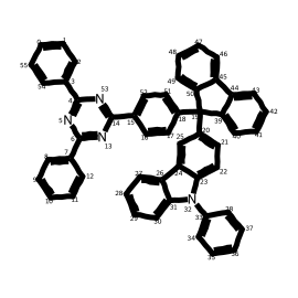 c1ccc(-c2nc(-c3ccccc3)nc(-c3ccc(C4(c5ccc6c(c5)c5ccccc5n6-c5ccccc5)c5ccccc5-c5ccccc54)cc3)n2)cc1